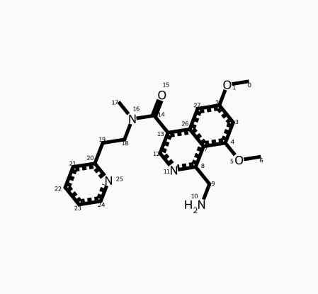 COc1cc(OC)c2c(CN)ncc(C(=O)N(C)CCc3ccccn3)c2c1